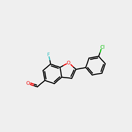 O=Cc1cc(F)c2oc(-c3cccc(Cl)c3)cc2c1